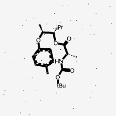 Cc1ccc(O[C@@H](C)[C@@H](OC(=O)[C@H](C)NC(=O)OC(C)(C)C)C(C)C)cc1